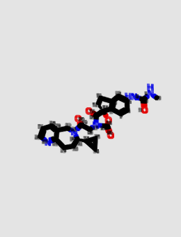 CNC(=O)Nc1ccc2c(c1)CC[C@@]21OC(=O)N(CC(=O)N2Cc3cccnc3CC[C@@H]2C2CC2)C1=O